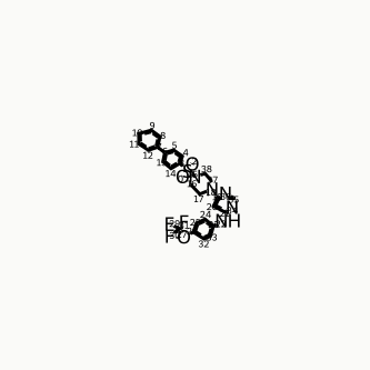 O=S(=O)(c1ccc(-c2ccccc2)cc1)N1CCN(c2cc(Nc3ccc(OC(F)(F)F)cc3)ncn2)CC1